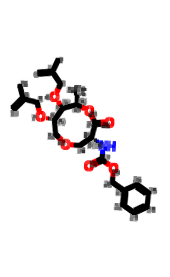 C=C(C)CO[C@@H]1[C@@H](OCC(=C)C)COC[C@@H](NC(=O)OCc2ccccc2)C(=O)O[C@@H]1CC